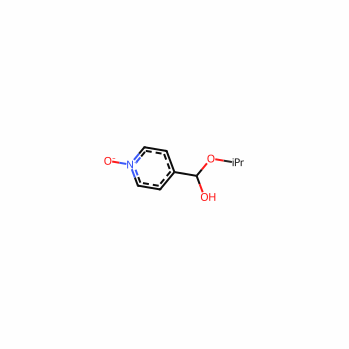 CC(C)OC(O)c1cc[n+]([O-])cc1